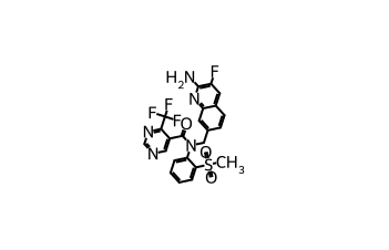 CS(=O)(=O)c1ccccc1N(Cc1ccc2cc(F)c(N)nc2c1)C(=O)c1cncnc1C(F)(F)F